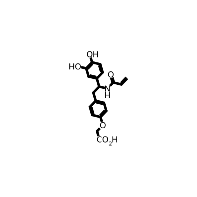 C=CC(=O)NC(Cc1ccc(OCC(=O)O)cc1)c1ccc(O)c(O)c1